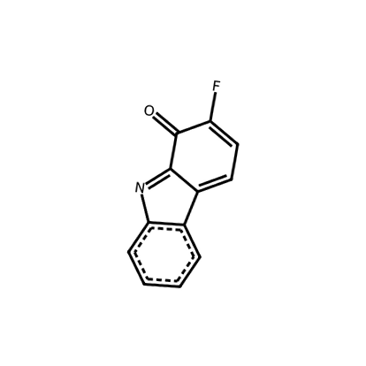 O=C1C(F)=CC=C2C1=Nc1ccccc12